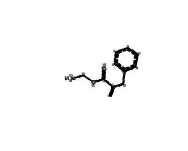 C=C(Cc1ccccc1)C(=O)OCN